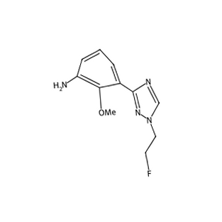 COc1c(N)cccc1-c1ncn(CCF)n1